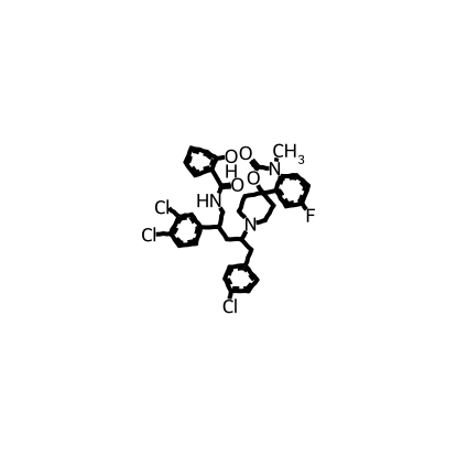 CN1C(=O)OC2(CCN(C(Cc3ccc(Cl)cc3)CC(CNC(=O)c3ccccc3O)c3ccc(Cl)c(Cl)c3)CC2)c2cc(F)ccc21